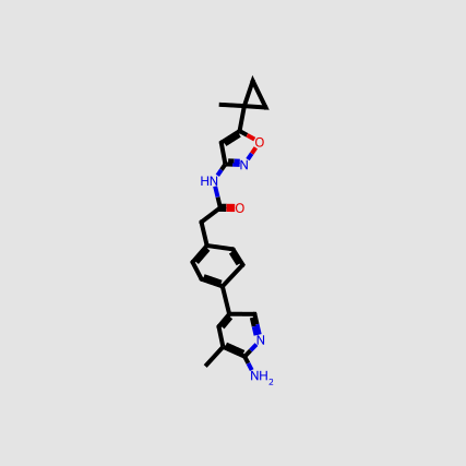 Cc1cc(-c2ccc(CC(=O)Nc3cc(C4(C)CC4)on3)cc2)cnc1N